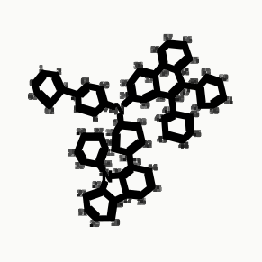 c1ccc(-c2ccc(N(c3ccc(-c4cccc5c6ccccc6n(-c6ccccc6)c45)cc3)c3ccc4c(c3)c(-c3ccccc3)c(-c3ccccc3)c3ccccc34)cc2)cc1